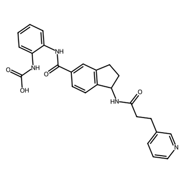 O=C(O)Nc1ccccc1NC(=O)c1ccc2c(c1)CCC2NC(=O)CCc1cccnc1